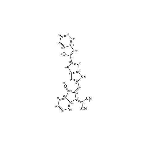 N#CC(C#N)=C1/C(=C/c2cc3sc(-c4cc5ccccc5o4)cc3s2)C(=O)c2ccccc21